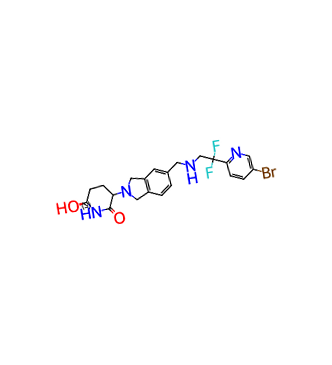 O=C1N[C@@H](O)CCC1N1Cc2ccc(CNCC(F)(F)c3ccc(Br)cn3)cc2C1